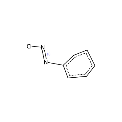 Cl/N=N/c1ccccc1